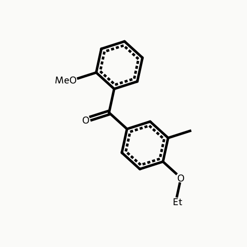 CCOc1ccc(C(=O)c2ccccc2OC)cc1C